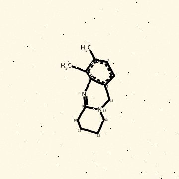 Cc1ccc2c(c1C)N=C1CCCCN1C2